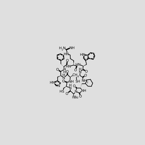 CCCC[C@@H](C(=O)N[C@@H](CS)C(=O)N[C@H](C)C(=O)N[C@@H](Cc1cnc[nH]1)C(=O)N[C@H](Cc1ccccc1)C(=O)N[C@@H](CCCNC(=N)N)C(=O)N[C@@H](Cc1c[nH]c2ccccc12)C(=O)N[C@@H](CS)C(N)=O)N1C(=O)N[C@@H](CC2CCCCC2)C1=O